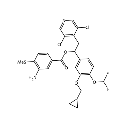 CSc1ccc(C(=O)OC(Cc2c(Cl)cncc2Cl)c2ccc(OC(F)F)c(OCC3CC3)c2)cc1N